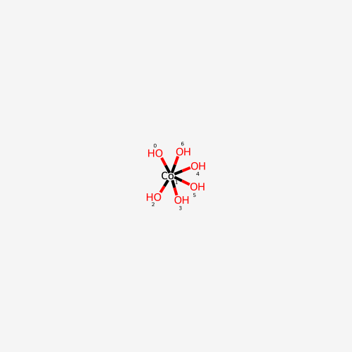 [OH][Co]([OH])([OH])([OH])([OH])[OH]